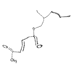 CCCC(C)COC(=O)C=CC(=O)O